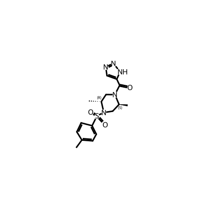 Cc1ccc(S(=O)(=O)N2C[C@H](C)N(C(=O)c3cnn[nH]3)C[C@H]2C)cc1